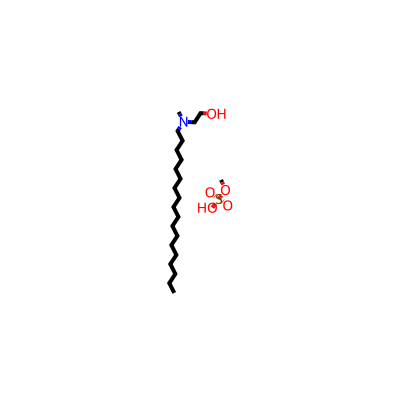 CCCCCCCCCCCCCCCCCCN(C)CCO.COS(=O)(=O)O